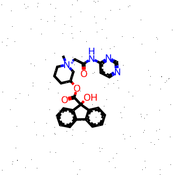 C[N+]1(CC(=O)Nc2ccncn2)CCCC(OC(=O)C2(O)c3ccccc3-c3ccccc32)C1